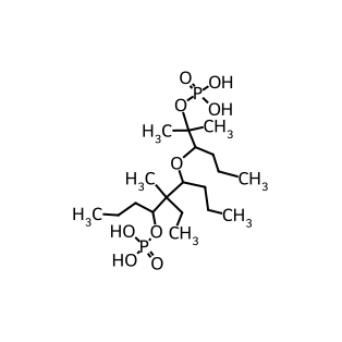 CCCC(OC(CCC)C(C)(CC)C(CCC)OP(=O)(O)O)C(C)(C)OP(=O)(O)O